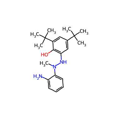 CN(Nc1cc(C(C)(C)C)cc(C(C)(C)C)c1O)c1ccccc1N